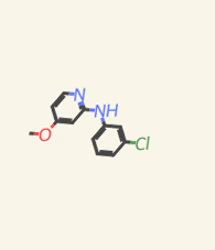 COc1ccnc(Nc2cccc(Cl)c2)c1